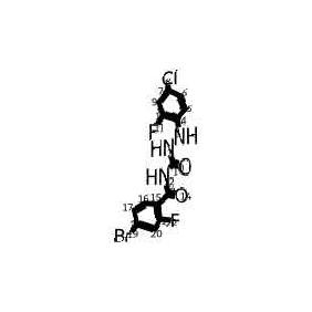 O=C(NNc1ccc(Cl)cc1F)NC(=O)c1ccc(Br)cc1F